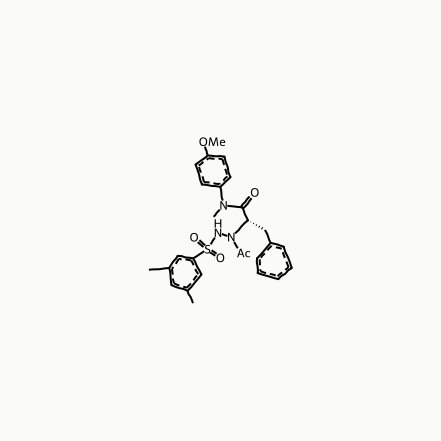 COc1ccc(N(C)C(=O)[C@H](Cc2ccccc2)N(NS(=O)(=O)c2cc(C)cc(C)c2)C(C)=O)cc1